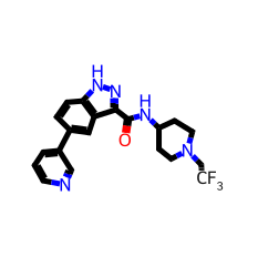 O=C(NC1CCN(CC(F)(F)F)CC1)c1n[nH]c2ccc(-c3cccnc3)cc12